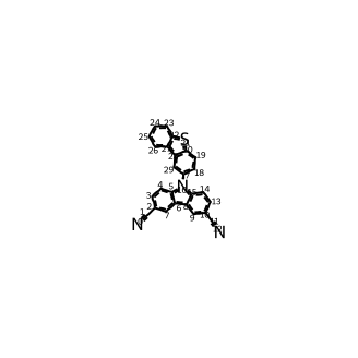 N#Cc1ccc2c(c1)c1cc(C#N)ccc1n2-c1ccc2sc3ccccc3c2c1